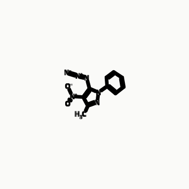 Cc1nn(-c2ccccc2)c(N=[N+]=[N-])c1[N+](=O)[O-]